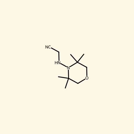 CC1(C)COCC(C)(C)N1NCC#N